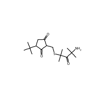 CC(C)(N)C(=O)C(C)(C)SCC1C(=O)CC(C(C)(C)C)C1=O